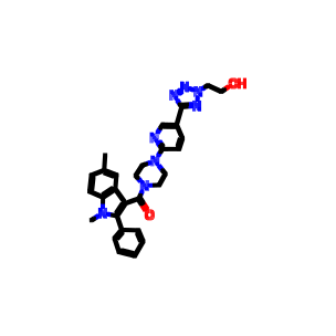 Cc1ccc2c(c1)c(C(=O)N1CCN(c3ccc(-c4nnn(CCO)n4)cn3)CC1)c(-c1ccccc1)n2C